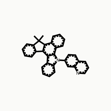 CC1(C)c2ccccc2-c2c1c1ccccc1c1c2c2ccccc2n1-c1ccc2cccnc2c1